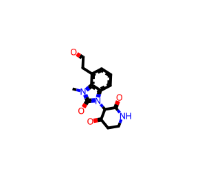 Cn1c(=O)n(C2C(=O)CCNC2=O)c2cccc(CC=O)c21